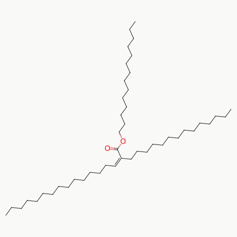 CCCCCCCCCCCCCCC=C(CCCCCCCCCCCCCC)C(=O)OCCCCCCCCCCCCCC